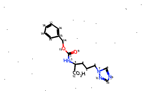 O=C(NC(CCCn1cncn1)C(=O)O)OCc1ccccc1